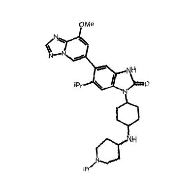 COc1cc(-c2cc3[nH]c(=O)n(C4CCC(NC5CCN(C(C)C)CC5)CC4)c3cc2C(C)C)cn2ncnc12